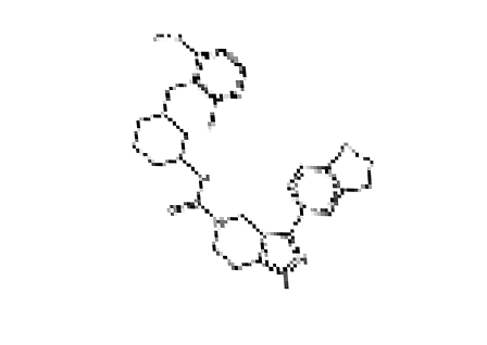 COc1cccc(F)c1CN1CCCC(NC(=O)N2CCc3[nH]nc(-c4ccc5c(c4)CCO5)c3C2)C1